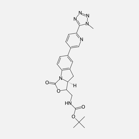 Cn1nnnc1-c1ccc(-c2ccc3c(c2)C[C@H]2C(CNC(=O)OC(C)(C)C)OC(=O)N32)cn1